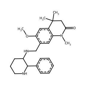 COc1cc2c(cc1CNC1CCCNC1c1ccccc1)N(C)C(=O)CC2(C)C